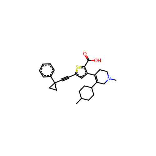 CC1CCC(C2=C(c3cc(C#CC4(c5ccccc5)CC4)sc3C(=O)O)CCN(C)C2)CC1